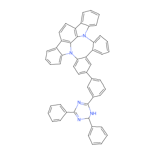 c1ccc(C2=NC(c3ccccc3)NC(c3cccc(-c4ccc5c(c4)c4ccccc4n4c6ccccc6c6ccc7c8ccccc8n5c7c64)c3)=N2)cc1